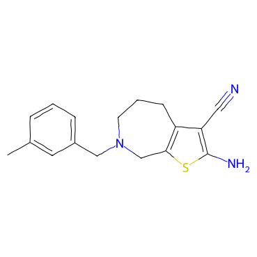 Cc1cccc(CN2CCCc3c(sc(N)c3C#N)C2)c1